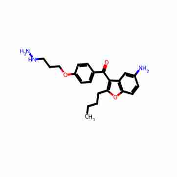 CCCCc1oc2ccc(N)cc2c1C(=O)c1ccc(OCCCNN)cc1